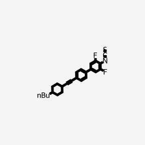 CCCCC1CCC(C#Cc2ccc(-c3cc(F)c(N=C=S)c(F)c3)cc2)CC1